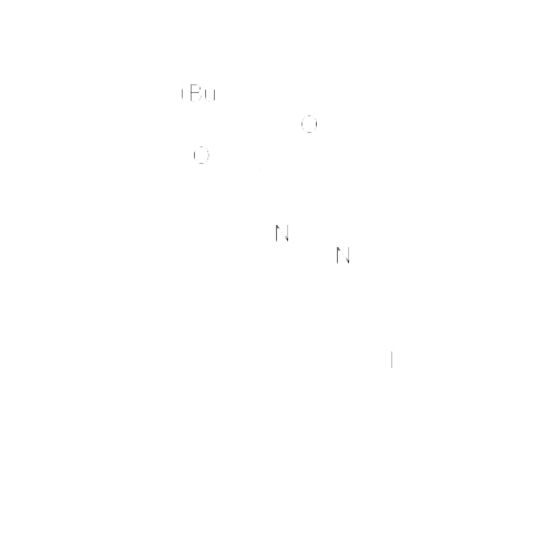 Cc1ccc2c(c1)c(I)nn2C(=O)OC(C)(C)C